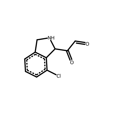 O=CC(=O)C1NCc2cccc(Cl)c21